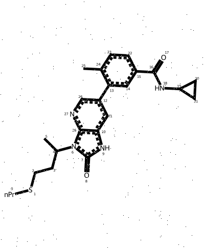 CCCSCCC(C)n1c(=O)[nH]c2cc(-c3cc(C(=O)NC4CC4)ccc3C)cnc21